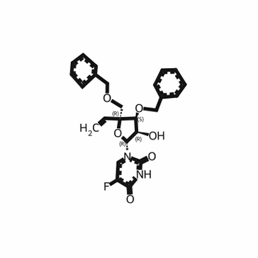 C=C[C@]1(COCc2ccccc2)O[C@@H](n2cc(F)c(=O)[nH]c2=O)[C@H](O)[C@@H]1OCc1ccccc1